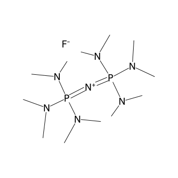 CN(C)P(=[N+]=P(N(C)C)(N(C)C)N(C)C)(N(C)C)N(C)C.[F-]